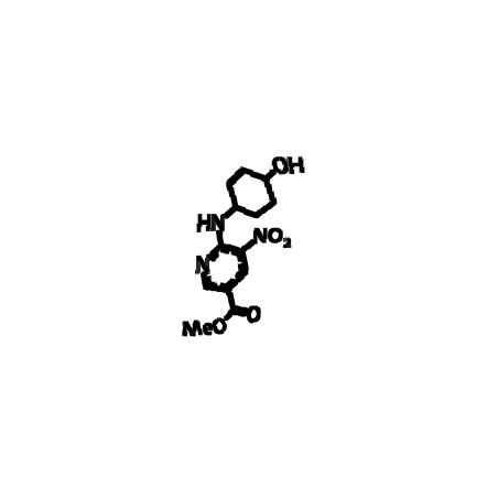 COC(=O)c1cnc(NC2CCC(O)CC2)c([N+](=O)[O-])c1